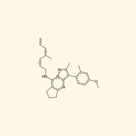 C=C/C=C(C)\C=C/CNc1c2c(nc3c(-c4ccc(OC)cc4C)c(C)nn13)CCC2